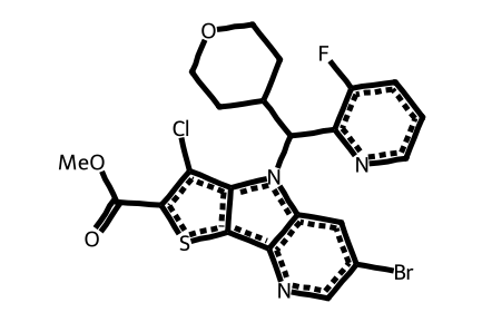 COC(=O)c1sc2c3ncc(Br)cc3n(C(c3ncccc3F)C3CCOCC3)c2c1Cl